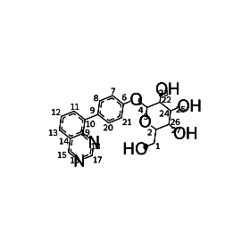 OCC1OC(Oc2ccc(-c3cccc4cncnc34)cc2)C(O)C(O)C1O